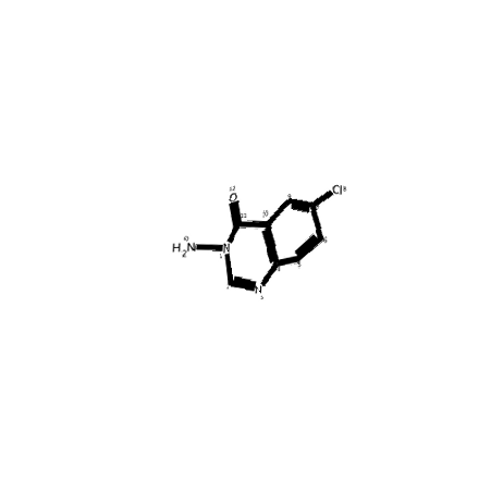 Nn1cnc2ccc(Cl)cc2c1=O